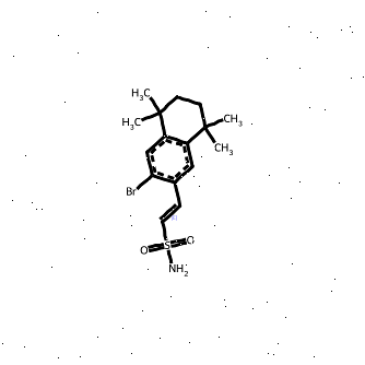 CC1(C)CCC(C)(C)c2cc(/C=C/S(N)(=O)=O)c(Br)cc21